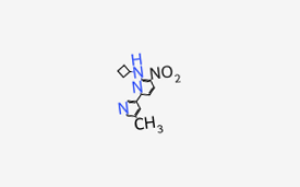 Cc1cncc(-c2ccc([N+](=O)[O-])c(NC3CCC3)n2)c1